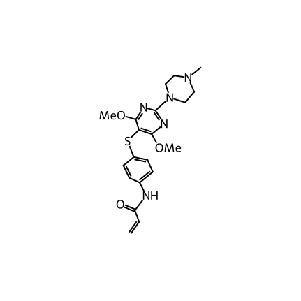 C=CC(=O)Nc1ccc(Sc2c(OC)nc(N3CCN(C)CC3)nc2OC)cc1